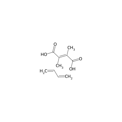 C=CC=C.CC(C(=O)O)=C(C)C(=O)O